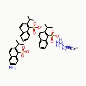 CC(C)c1ccc2ccccc2c1S(=O)(=O)[O-].CC(C)c1ccc2ccccc2c1S(=O)(=O)[O-].CC(C)c1ccc2ccccc2c1S(=O)(=O)[O-].N.N.N.N.N.N.[Co+3]